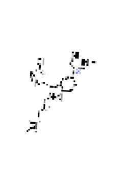 CN/C=C(\C=N)c1ccc2nn(COCC[Si](C)(C)C)c(-c3cc(Cl)ncn3)c2c1